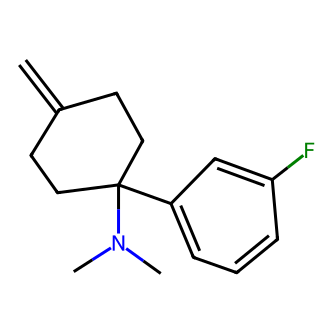 C=C1CCC(c2cccc(F)c2)(N(C)C)CC1